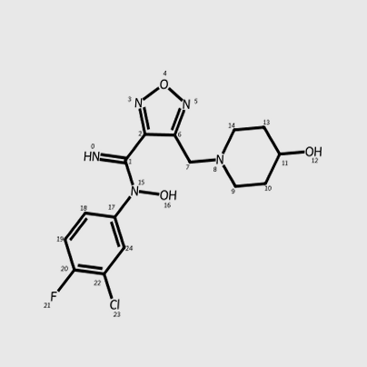 N=C(c1nonc1CN1CCC(O)CC1)N(O)c1ccc(F)c(Cl)c1